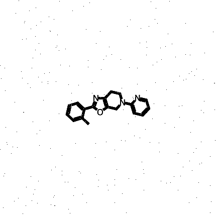 Cc1ccccc1-c1nc2c(o1)CN(c1ccccn1)CC2